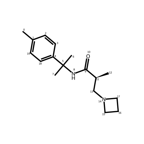 Cc1ccc(C(C)(C)NC(=O)[C@@H](C)CN2CCC2)cc1